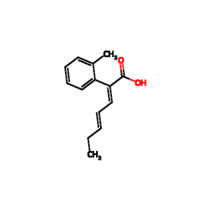 CC/C=C/C=C(/C(=O)O)c1ccccc1C